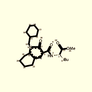 CC[C@@H](C)[C@H](NC(=O)c1cc2c(n(CC3CCCCC3)c1=O)CCCC2)C(=O)OC